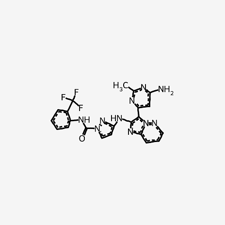 Cc1nc(N)cc(-c2c(Nc3ccn(C(=O)Nc4ccccc4C(F)(F)F)n3)nc3cccnn23)n1